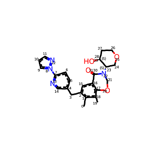 Cc1c(Cc2ccc(-n3cccn3)nc2)cc2c(c1C)OCN([C@H]1COCC[C@@H]1O)C2=O